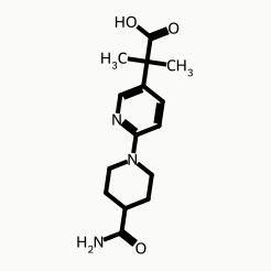 CC(C)(C(=O)O)c1ccc(N2CCC(C(N)=O)CC2)nc1